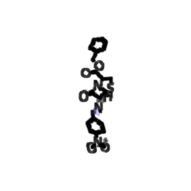 O=C(OCc1ccccc1)C1CS[C@@H]2[C@H](/N=C/c3ccc([N+](=O)[O-])cc3)C(=O)N12